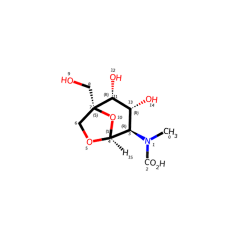 CN(C(=O)O)[C@H]1[C@H]2OC[C@](CO)(O2)[C@H](O)[C@@H]1O